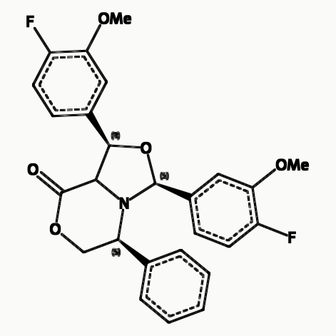 COc1cc([C@H]2O[C@@H](c3ccc(F)c(OC)c3)N3C2C(=O)OC[C@@H]3c2ccccc2)ccc1F